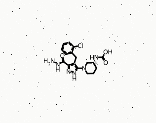 NNC(=O)c1n[nH]c(N2CCC[C@@H](NC(=O)O)C2)c1Cc1ccccc1Cl